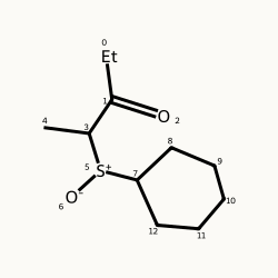 CCC(=O)C(C)[S+]([O-])C1CCCCC1